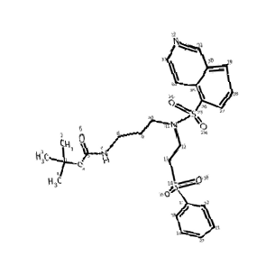 CC(C)(C)OC(=O)NCCCN(CCS(=O)(=O)c1ccccc1)S(=O)(=O)c1cccc2cnccc12